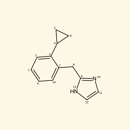 c1ccc(C2CC2)c(Cc2ncc[nH]2)c1